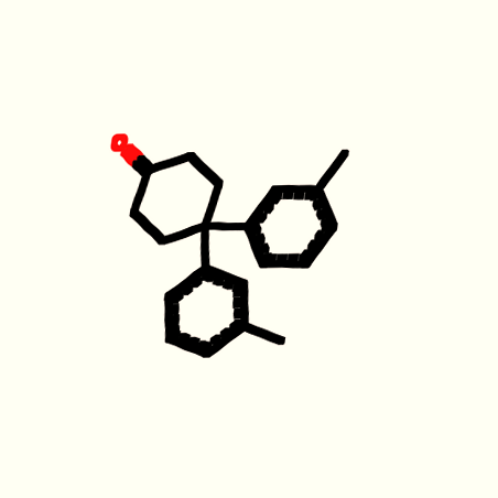 Cc1cccc(C2(c3cccc(C)c3)CCC(=O)CC2)c1